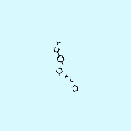 O=C(NCC[C@@H]1CCCN1)O[C@@H]1[C@@H](O)CN[C@@H]1Cc1ccc(-c2cnn(C(F)F)c2)cc1